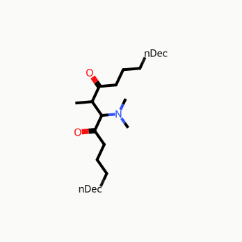 CCCCCCCCCCCCCC(=O)C(C)C(C(=O)CCCCCCCCCCCCC)N(C)C